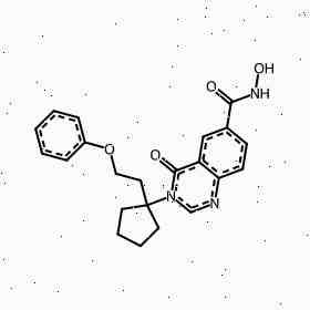 O=C(NO)c1ccc2ncn(C3(CCOc4ccccc4)CCCC3)c(=O)c2c1